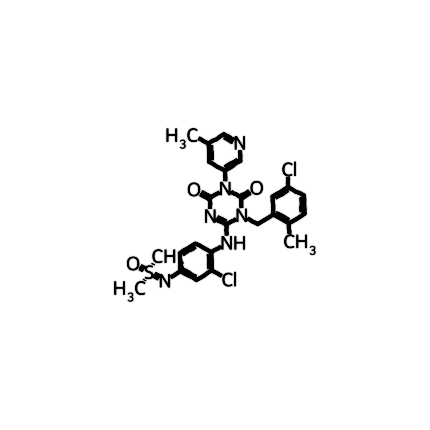 Cc1cncc(-n2c(=O)nc(Nc3ccc(N=S(C)(C)=O)cc3Cl)n(Cc3cc(Cl)ccc3C)c2=O)c1